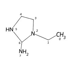 CCN1CCNC1N